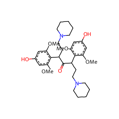 COc1cc(O)cc(OC)c1C(CCN1CCCCC1)C(=O)C(CCN1CCCCC1)c1c(OC)cc(O)cc1OC